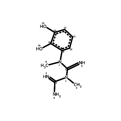 CN(C(=N)N)C(=N)N(C)c1cccc(O)c1O